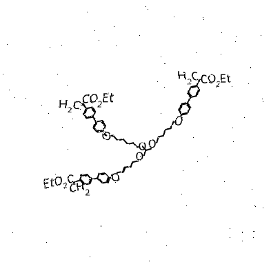 C=C(C(=O)OCC)c1ccc(-c2ccc(OCCCCCCOCC(COCCCCCCOc3ccc(-c4ccc(C(=C)C(=O)OCC)cc4)cc3)OCCCCCCOc3ccc(-c4ccc(C(=C)C(=O)OCC)cc4)cc3)cc2)cc1